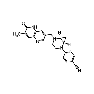 Cc1cc2ncc(CN3CCN(c4ccc(C#N)cn4)[C@H]4C[C@H]43)cc2[nH]c1=O